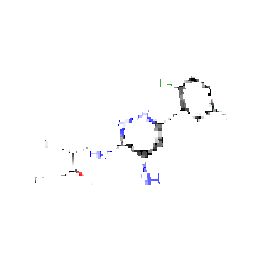 CCC(CNc1nnc(-c2cc(Cl)ccc2F)cc1N)C(=O)OC